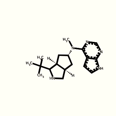 CN(c1ncnc2[nH]ccc12)[C@@H]1C[C@H]2CNC(C(C)(C)C)[C@H]2C1